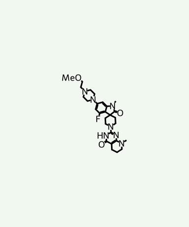 COCCN1CCN(c2cc(F)c3c(c2)N(C)C(=O)C32CCN(c3nc4c(c(=O)[nH]3)CCCN4C)CC2)CC1